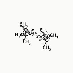 CCCCOC(COC(=O)CCCCC(=O)OCC(OCC)(OCCCC)OCCCC)(OCC)OCCCC